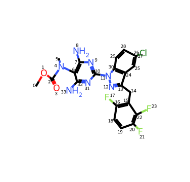 COC(=O)N(C)c1c(N)nc(-n2nc(Cc3c(F)ccc(F)c3F)c3cc(Cl)ccc32)nc1N